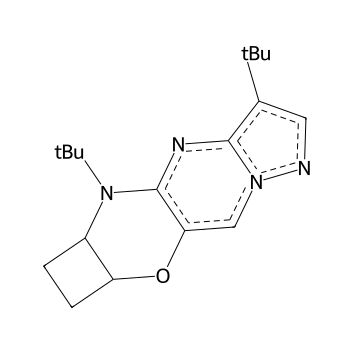 CC(C)(C)c1cnn2cc3c(nc12)N(C(C)(C)C)C1CCC1O3